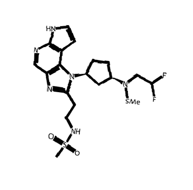 CSN(CC(F)F)[C@@H]1CC[C@H](n2c(CCNS(C)(=O)=O)nc3cnc4[nH]ccc4c32)C1